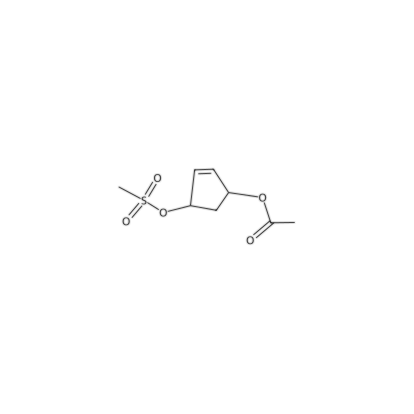 CC(=O)OC1C=CC(OS(C)(=O)=O)C1